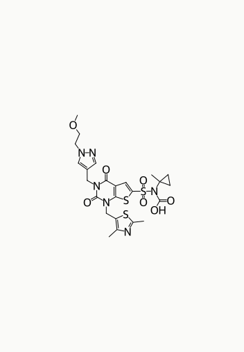 COCCn1cc(Cn2c(=O)c3cc(S(=O)(=O)N(C(=O)O)C4(C)CC4)sc3n(Cc3sc(C)nc3C)c2=O)cn1